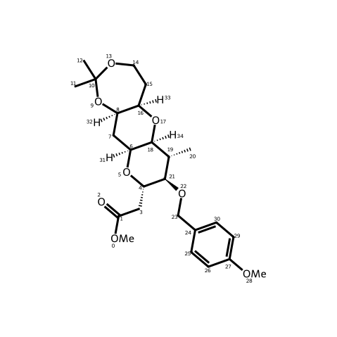 COC(=O)C[C@@H]1O[C@H]2C[C@H]3OC(C)(C)OCC[C@H]3O[C@H]2[C@H](C)[C@H]1OCc1ccc(OC)cc1